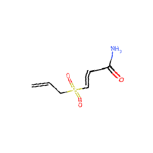 C=CCS(=O)(=O)C=CC(N)=O